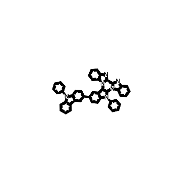 c1ccc(-n2c3ccccc3c3cc(-c4ccc5c(c4)c4c(n5-c5ccccc5)n5c6ccccc6nc5c5nc6ccccc6n54)ccc32)cc1